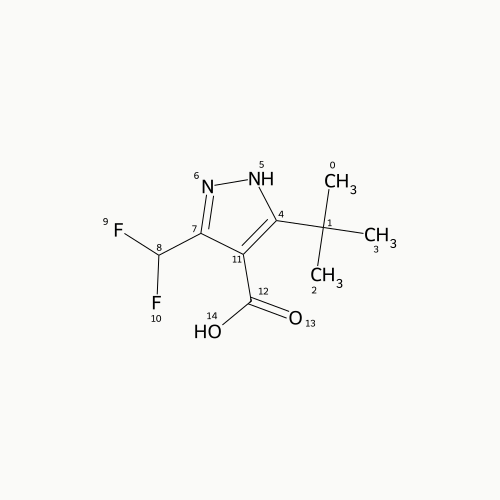 CC(C)(C)c1[nH]nc(C(F)F)c1C(=O)O